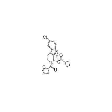 O=C(OC1c2[nH]c3ccc(Cl)cc3c2CCN1C(=O)c1ccco1)C1CCC1